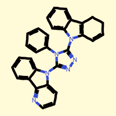 C1=Cc2c(c3ccccc3n2-c2nnc(-n3c4ccccc4c4ncccc43)n2-c2ccccc2)CC1